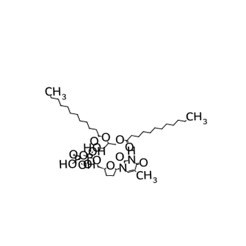 CCCCCCCCCCCC(=O)OCC(CO)OC(=O)CCCCCCCCCCC.Cc1cn([C@H]2CC[C@@H](COP(=O)(O)OP(=O)(O)O)O2)c(=O)[nH]c1=O